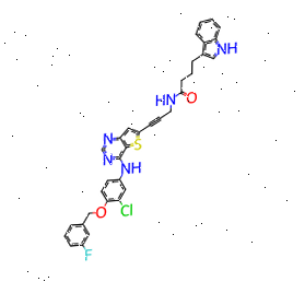 O=C(CCCc1c[nH]c2ccccc12)NCC#Cc1cc2ncnc(Nc3ccc(OCc4cccc(F)c4)c(Cl)c3)c2s1